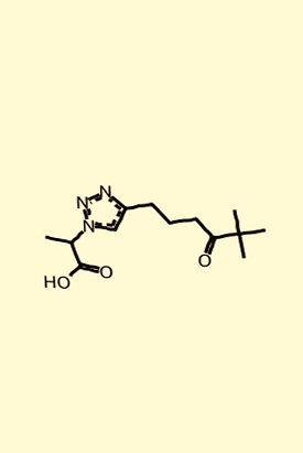 CC(C(=O)O)n1cc(CCCC(=O)C(C)(C)C)nn1